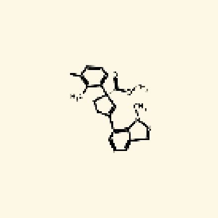 COC(=O)[C@]1(c2cccc(F)c2C)C=C(c2cccc3cnn(C)c23)CC1